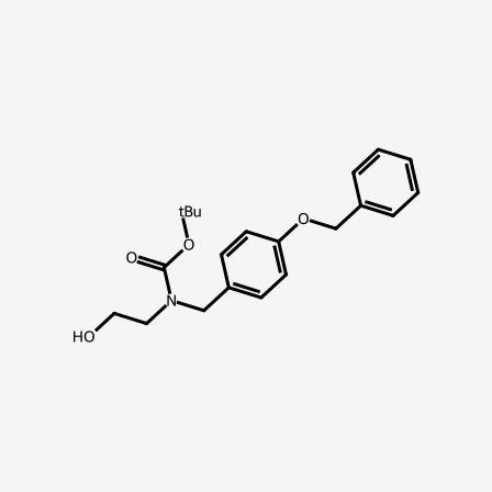 CC(C)(C)OC(=O)N(CCO)Cc1ccc(OCc2ccccc2)cc1